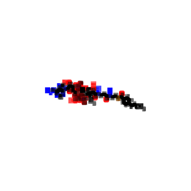 C/C=C/c1ccc(C(=O)SCCNC(=O)CCNC(=O)C(O)C(C)(C)COP(=O)(O)OP(=O)(O)OC[C@H]2O[C@@H](n3cnc4c(N)ncnc43)[C@H](O)[C@@H]2OP(=O)(O)O)cc1